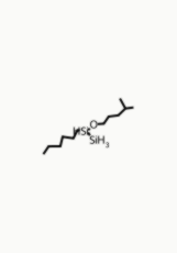 CCCCCC[SiH]([SiH3])OCCCC(C)C